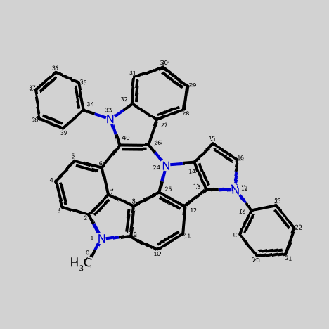 Cn1c2cccc3c2c2c1ccc1c4c(ccn4-c4ccccc4)n(c12)c1c2ccccc2n(-c2ccccc2)c31